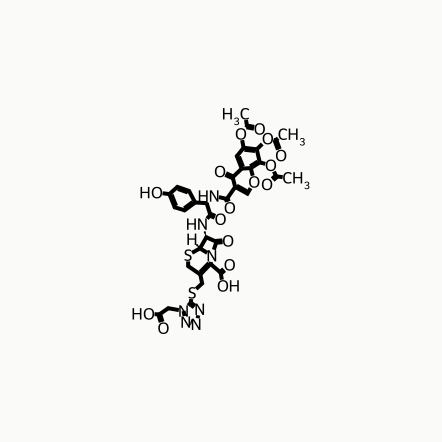 CC(=O)Oc1cc2c(=O)c(C(=O)NC(C(=O)N[C@@H]3C(=O)N4C(C(=O)O)=C(CSc5nnnn5CC(=O)O)CS[C@@H]34)c3ccc(O)cc3)coc2c(OC(C)=O)c1OC(C)=O